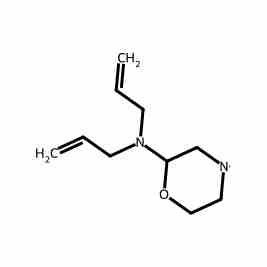 C=CCN(CC=C)C1C[N]CCO1